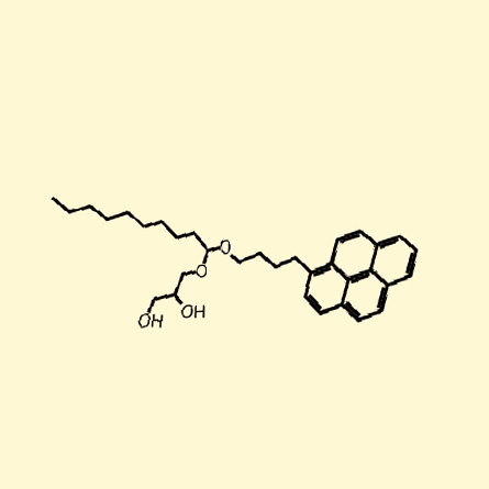 CCCCCCCCCC(OCCCCc1ccc2ccc3cccc4ccc1c2c34)OCC(O)CO